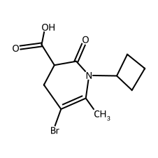 CC1=C(Br)CC(C(=O)O)C(=O)N1C1CCC1